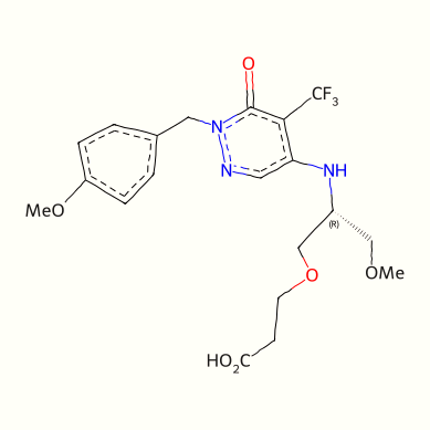 COC[C@H](COCCC(=O)O)Nc1cnn(Cc2ccc(OC)cc2)c(=O)c1C(F)(F)F